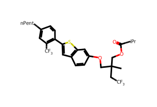 CCCCCc1ccc(-c2cc3ccc(OCC(C)(COC(=O)C(C)C)CC(F)(F)F)cc3s2)c(C(F)(F)F)c1